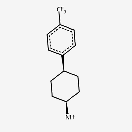 [NH][C@H]1CC[C@@H](c2ccc(C(F)(F)F)cc2)CC1